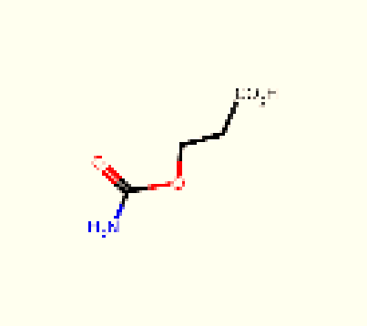 NC(=O)OCCC(=O)O